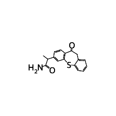 CC(C(N)=O)c1ccc2c(c1)Sc1ccccc1CC2=O